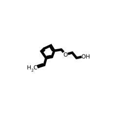 C=Cc1cccc(COCCO)c1